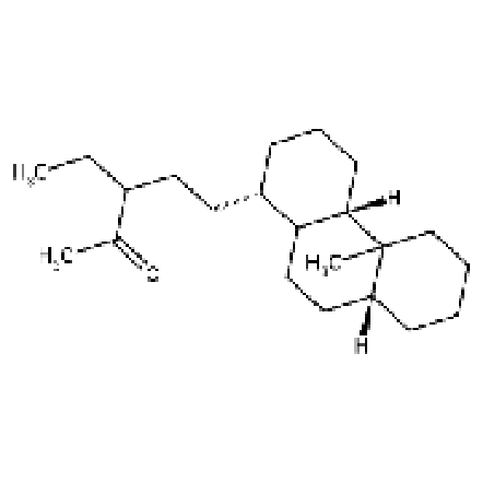 CCC(CC[C@@H]1CCC[C@H]2C1CC[C@H]1CCCCC12C)C(C)=O